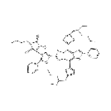 CCCCC(CC)Cc1ccc(-c2c3cc(-c4sc(-c5ccccc5)c5c6c(sc45)C(=O)N(CCCC)C6=O)sc3c(-c3ccc(CC(CC)CCCC)s3)c3cc(-c4ccccc4)sc23)s1